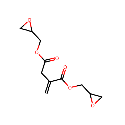 C=C(CC(=O)OCC1CO1)C(=O)OCC1CO1